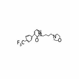 O=c1c(-c2ccc(C(F)(F)F)cc2)ccnn1CCCCN1CCOCC1